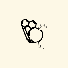 CN1CCCN(C)c2ccc3ccc4ccc1c1ccc2c3c41